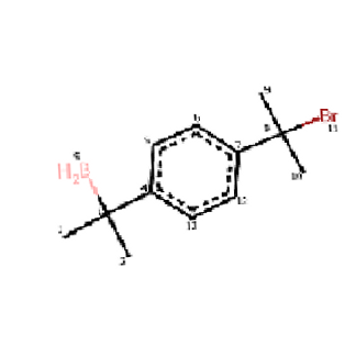 BC(C)(C)c1ccc(C(C)(C)Br)cc1